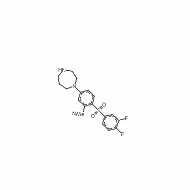 CNc1cc(N2CCCNCC2)ccc1S(=O)(=O)c1ccc(F)c(F)c1